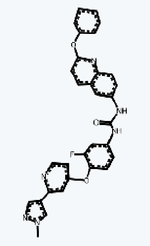 Cn1cc(-c2cc(Oc3ccc(NC(=O)Nc4ccc5nc(Oc6ccccc6)ccc5c4)cc3F)ccn2)cn1